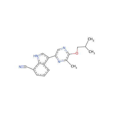 Cc1nc(-c2c[nH]c3c(C#N)cccc23)cnc1OCC(C)C